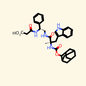 C[C@](Cc1c[nH]c2ccccc12)(NC(=O)OC1C2CC3CC(C2)CC1C3)C(=O)NC[C@H](NC(=O)CC(=O)O)c1ccccc1